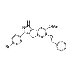 COc1cc2c(cc1OCc1ccccc1)Cc1c(-c3ccc(Br)cc3)n[nH]c1-2